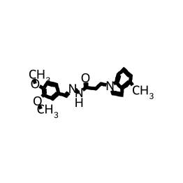 COc1ccc(C=NNC(=O)CCn2ccc3c(C)cccc32)cc1OC